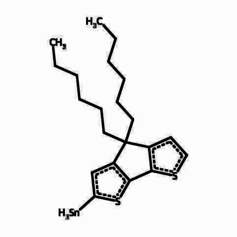 CCCCCCC1(CCCCCC)c2ccsc2-c2s[c]([SnH3])cc21